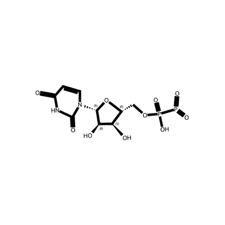 O=c1ccn([C@@H]2O[C@H](COP(=O)(O)P(=O)=O)[C@@H](O)[C@H]2O)c(=O)[nH]1